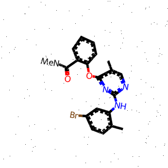 CNC(=O)c1ccccc1Oc1nc(Nc2cc(Br)ccc2C)ncc1C